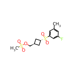 Cc1cc(F)cc(S(=O)(=O)[C@H]2C[C@H](COS(C)(=O)=O)C2)c1